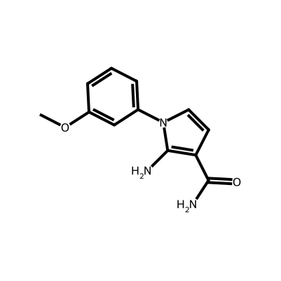 COc1cccc(-n2ccc(C(N)=O)c2N)c1